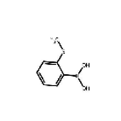 OB(O)c1ccccc1SC(F)(F)F